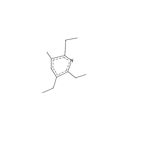 CCc1cc(C)c(CC)nc1CC